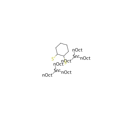 CCCCCCC[CH2][Sn+]([CH2]CCCCCCC)[CH2]CCCCCCC.CCCCCCC[CH2][Sn+]([CH2]CCCCCCC)[CH2]CCCCCCC.[S-]C1CCCCC1[S-]